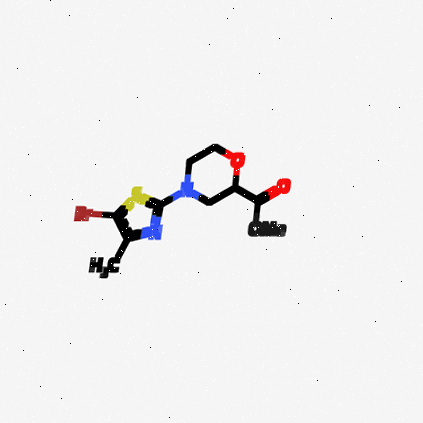 COC(=O)C1CN(c2nc(C)c(Br)s2)CCO1